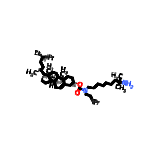 CC[C@H](CC[C@@H](C)[C@H]1CC[C@H]2[C@@H]3CC=C4C[C@@H](OC(=O)N(CCCCCCCC(C)(C)N)CCC(C)C)CC[C@]4(C)C3CC[C@]12C)C(C)C